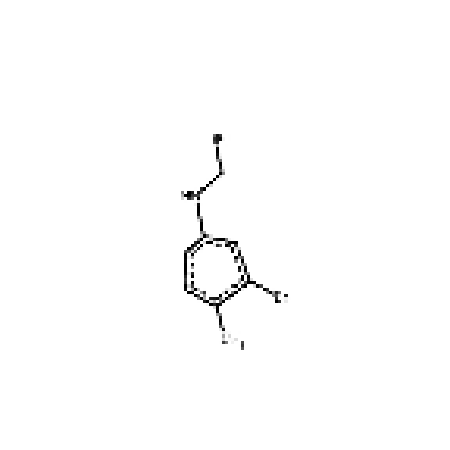 Cc1ccc(NCC(C)C)cc1Br